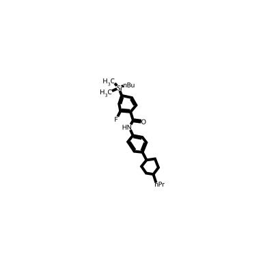 CCCC[Si](C)(C)c1ccc(C(=O)Nc2ccc(C3CCC(CCC)CC3)cc2)c(F)c1